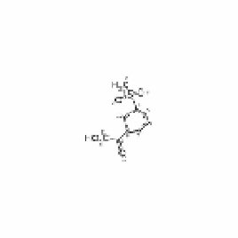 CS(=O)(=O)c1cccc(C(=O)C(=O)O)c1